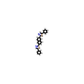 c1ccc(-c2cnc(-c3ccc4cc(-c5ncc(-c6ccccc6)s5)ccc4c3)s2)cc1